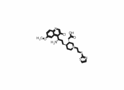 COc1ccc2ncc(Cl)c([C@@H](N)CC[C@@H]3CCN(CCSc4nccs4)C[C@H]3CC(=O)O)c2c1